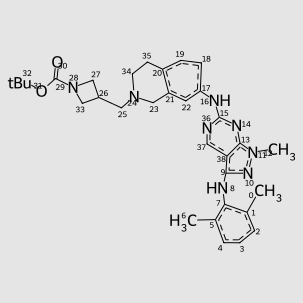 Cc1cccc(C)c1Nc1nn(C)c2nc(Nc3ccc4c(c3)CN(CC3CN(C(=O)OC(C)(C)C)C3)CC4)ncc12